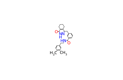 Cc1ccc(CCNC(=O)c2cccc(Cc3n[nH]c(=O)c4c3CCCC4)c2)cc1C